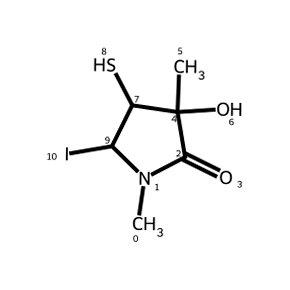 CN1C(=O)C(C)(O)C(S)C1I